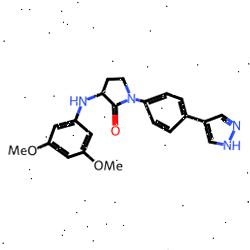 COc1cc(NC2CCN(c3ccc(-c4cn[nH]c4)cc3)C2=O)cc(OC)c1